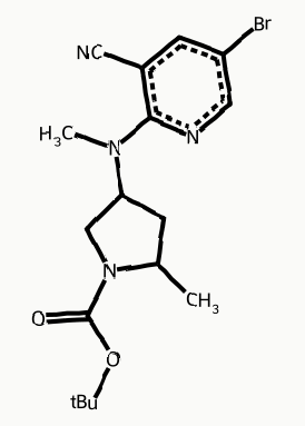 CC1CC(N(C)c2ncc(Br)cc2C#N)CN1C(=O)OC(C)(C)C